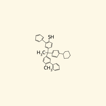 Cc1ccc(C(C)(c2ccc(C3CCCCC3)cc2)c2ccc(S)c(-c3ccccc3)c2)cc1-c1ccccc1